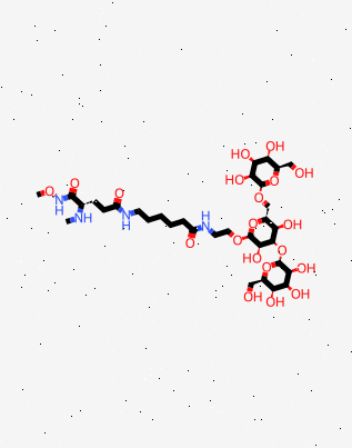 CN[C@@H](CCC(=O)NCCCCCC(=O)NCCO[C@H]1O[C@H](CO[C@H]2O[C@H](CO)[C@@H](O)[C@H](O)[C@@H]2O)[C@@H](O)[C@H](O[C@H]2O[C@H](CO)[C@@H](O)[C@H](O)[C@@H]2O)[C@@H]1O)C(=O)NOC